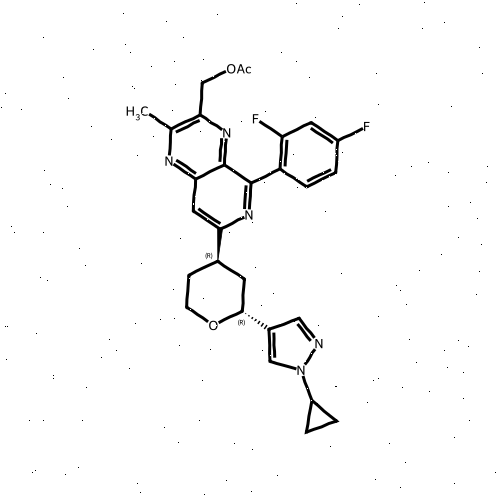 CC(=O)OCc1nc2c(-c3ccc(F)cc3F)nc([C@@H]3CCO[C@@H](c4cnn(C5CC5)c4)C3)cc2nc1C